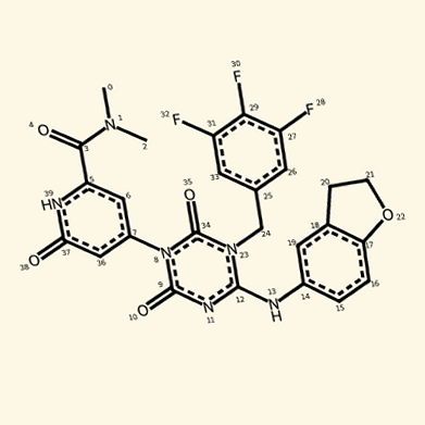 CN(C)C(=O)c1cc(-n2c(=O)nc(Nc3ccc4c(c3)CCO4)n(Cc3cc(F)c(F)c(F)c3)c2=O)cc(=O)[nH]1